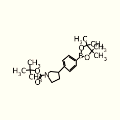 CC(C)(C)OC(=O)N1CCC(c2ccc(B3OC(C)(C)C(C)(C)O3)cc2)C1